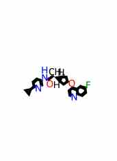 CC(C(=O)Nc1ccc(C2CC2)nc1)[C@@H]1[C@@H]2C[C@@H](Oc3ccnc4ccc(F)cc34)C[C@@H]21